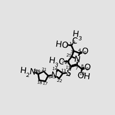 CC(O)C1C(=O)N2C(C(=O)O)=C(SC3CN(C4CCC(N)C4)C3)C(C)C12